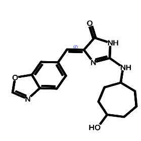 O=C1NC(NC2CCCC(O)CC2)=N/C1=C\c1ccc2ncoc2c1